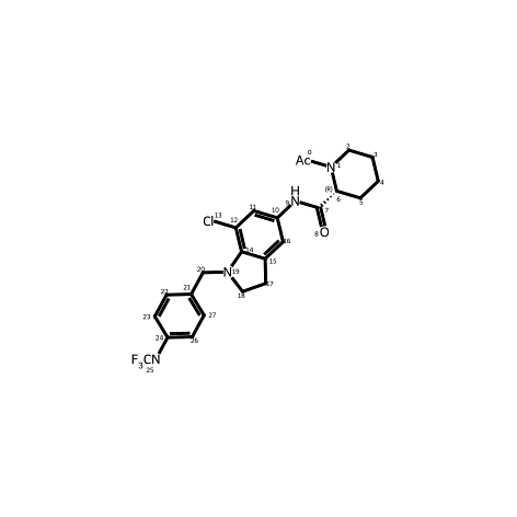 CC(=O)N1CCCC[C@@H]1C(=O)Nc1cc(Cl)c2c(c1)CCN2Cc1ccc(NC(F)(F)F)cc1